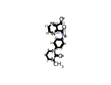 CN1CCCN(c2ccc(/N=C3/OC(=O)c4nccnc43)cc2)C1=O